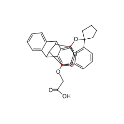 O=C(O)COC(=O)C1C2c3ccccc3C(c3ccccc32)C1C(=O)OC1(c2ccccc2)CCCC1